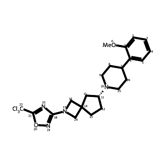 COc1ccccc1C1CCN([C@@H]2CCC3(C2)CN(c2noc(C(Cl)(Cl)Cl)n2)C3)CC1